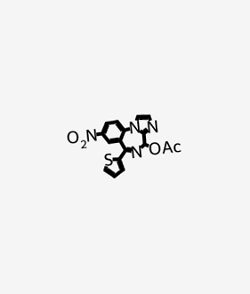 CC(=O)OC1N=C(c2cccs2)c2cc([N+](=O)[O-])ccc2-n2ccnc21